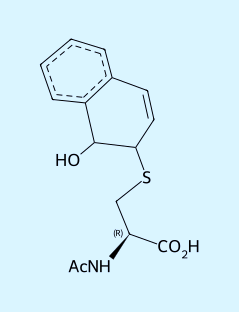 CC(=O)N[C@@H](CSC1C=Cc2ccccc2C1O)C(=O)O